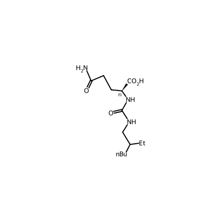 CCCCC(CC)CNC(=O)N[C@@H](CCC(N)=O)C(=O)O